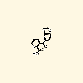 O=C(c1ccc2c(c1)OCO2)c1cccnc1C(=O)O